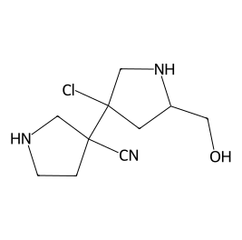 N#CC1(C2(Cl)CNC(CO)C2)CCNC1